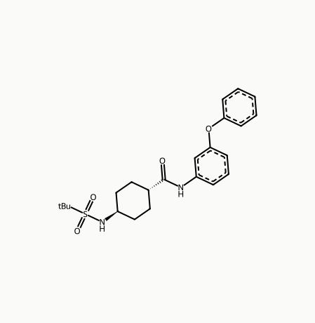 CC(C)(C)S(=O)(=O)N[C@H]1CC[C@H](C(=O)Nc2cccc(Oc3ccccc3)c2)CC1